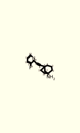 NC12CCCC(C#Cc3ncccc3F)(CC1)C2